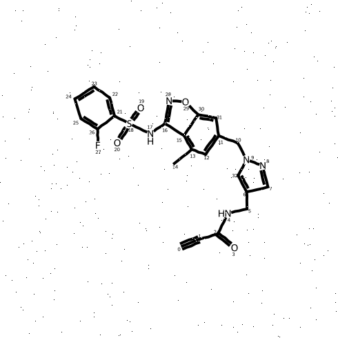 C#CC(=O)NCc1cnn(Cc2cc(C)c3c(NS(=O)(=O)c4ccccc4F)noc3c2)c1